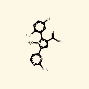 Cc1ccc(Cl)cc1-c1c(C(N)=O)cc(-c2ccnc(N)n2)n1C